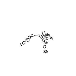 Cc1ncsc1-c1ccc(CNC(=O)[C@@H]2C[C@@H](O)CN2C(=O)[C@@H](NC(=O)COCCCCOc2ccc3nc(-c4ccc(N(C)C)cc4)ccc3c2)C(C)(C)C)cc1